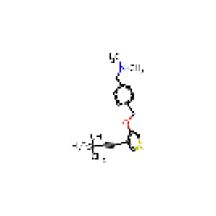 CN(C)Cc1ccc(COc2cscc2C#C[Si](C)(C)C)cc1